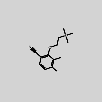 Cc1c(F)ccc(C#N)c1OCCS(C)(C)C